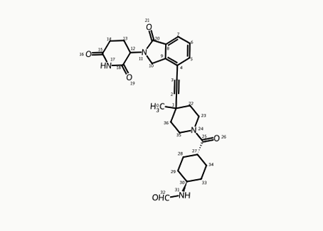 CC1(C#Cc2cccc3c2CN(C2CCC(=O)NC2=O)C3=O)CCN(C(=O)[C@H]2CC[C@H](NC=O)CC2)CC1